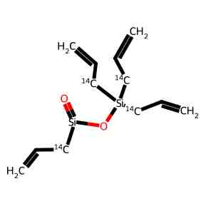 C=C[14CH2][Si](=O)O[Si]([14CH2]C=C)([14CH2]C=C)[14CH2]C=C